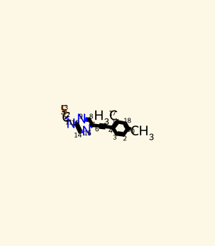 Cc1ccc(C#Cc2cnc(N=C=S)cn2)c(C)c1